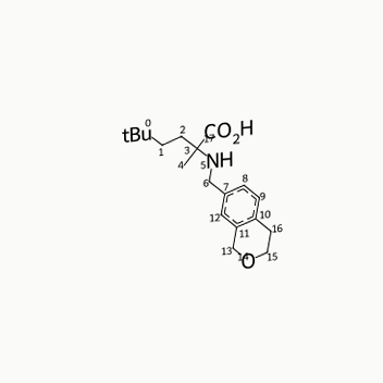 CC(C)(C)CCC(C)(NCc1ccc2c(c1)COCC2)C(=O)O